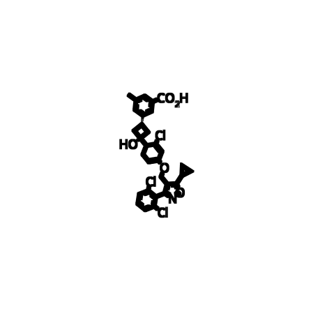 Cc1cc(C(=O)O)cc([C@H]2C[C@@](O)(C3CC=C(OCc4c(-c5c(Cl)cccc5Cl)noc4C4CC4)C=C3Cl)C2)c1